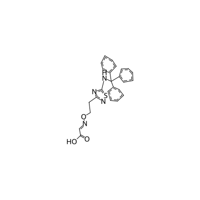 O=C(O)C=NOCCc1nsc(NC(c2ccccc2)(c2ccccc2)c2ccccc2)n1